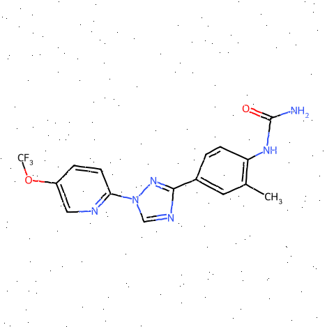 Cc1cc(-c2ncn(-c3ccc(OC(F)(F)F)cn3)n2)ccc1NC(N)=O